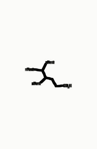 CCCCCC(CCCCC)C(CCCCC)CCC(=O)O